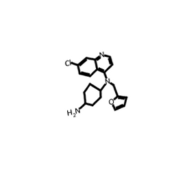 NC1CCC(N(Cc2ccco2)c2ccnc3cc(Cl)ccc23)CC1